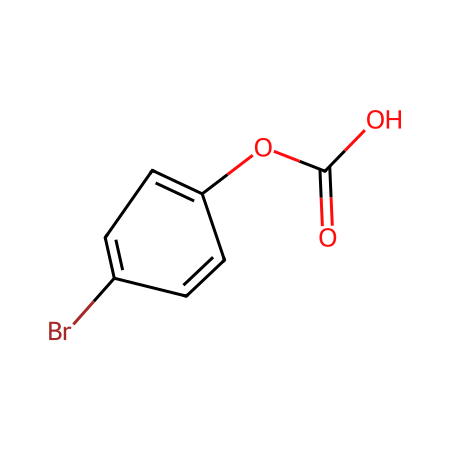 O=C(O)Oc1ccc(Br)cc1